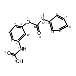 O=C(O)Nc1cccc(OC(=O)Nc2ccccc2)c1